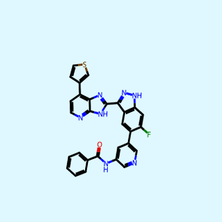 O=C(Nc1cncc(-c2cc3c(-c4nc5c(-c6ccsc6)ccnc5[nH]4)n[nH]c3cc2F)c1)c1ccccc1